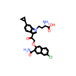 NC(=O)c1cc2cc(Cl)ccc2cc1OCC(=O)c1cn(CC[C@H](N)C(=O)O)c2cc(C3CC3)ccc12